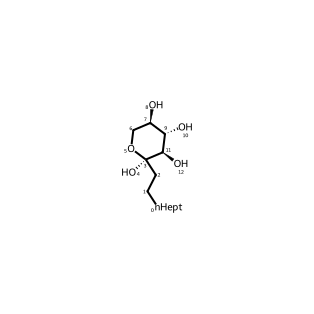 CCCCCCCCC[C@@]1(O)OC[C@@H](O)[C@H](O)[C@H]1O